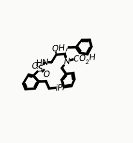 CC(C)CCc1ccccc1S(=O)(=O)NC[C@@H](O)[C@H](Cc1ccccc1)N(Cc1ccccc1)C(=O)O